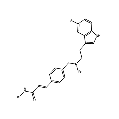 CC(C)N(CCc1c[nH]c2ccc(F)cc12)Cc1ccc(/C=C/C(=O)NO)cc1